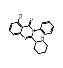 O=c1c2c(Cl)cccc2nc(C2CCCCN2)n1-c1ccccc1